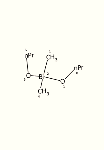 CCC[O][Bi]([CH3])([CH3])[O]CCC